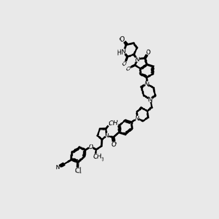 CC(CC1CCC(C)N1C(=O)c1ccc(N2CCC(CN3CCN(c4ccc5c(c4)C(=O)N(C4CCC(=O)NC4=O)C5=O)CC3)CC2)cc1)Oc1ccc(C#N)c(Cl)c1